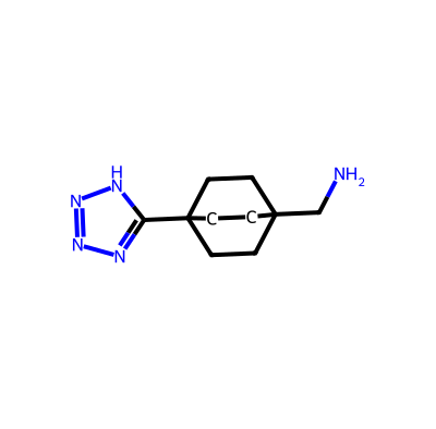 NCC12CCC(c3nnn[nH]3)(CC1)CC2